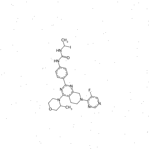 CC(I)NC(=O)Nc1ccc(-c2nc3c(c(N4CCOCC4C)n2)CCN(c2ncncc2F)C3)cc1